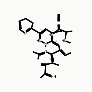 C=C=C(N/C(=C/C(=C\C)C(/N=C(C)C)=C(\C)C(=C)C(C)=N)N(C)N/C(=C\CC)C1=NC=CCC1)C(C)NC